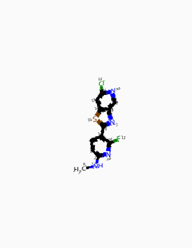 CNc1ccc(-c2nc3cnc(Cl)cc3s2)c(F)n1